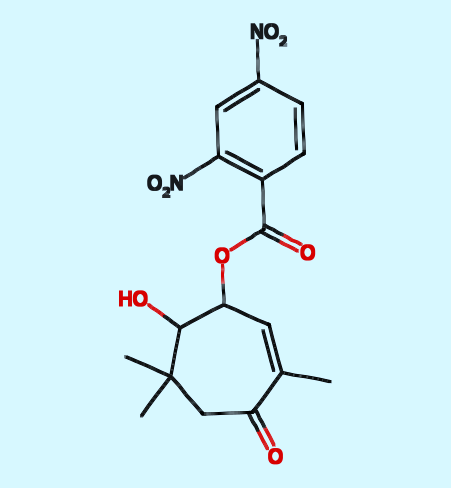 CC1=CC(OC(=O)c2ccc([N+](=O)[O-])cc2[N+](=O)[O-])C(O)C(C)(C)CC1=O